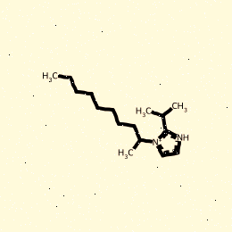 CCCCCCCCC(C)[n+]1cc[nH]c1C(C)C